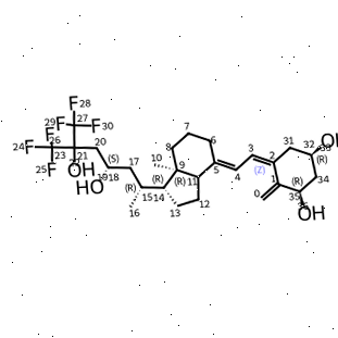 C=C1/C(=C\C=C2CCC[C@@]3(C)C2CC[C@@H]3[C@H](C)C[C@H](O)CC(O)(C(F)(F)F)C(F)(F)F)C[C@@H](O)C[C@H]1O